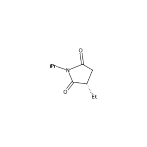 CC[C@H]1CC(=O)N(C(C)C)C1=O